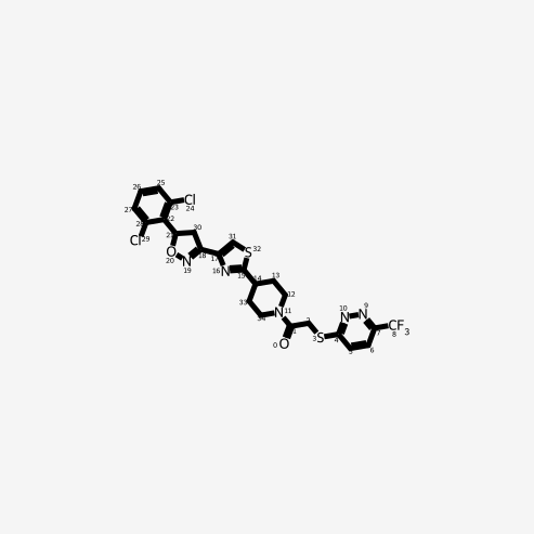 O=C(CSc1ccc(C(F)(F)F)nn1)N1CCC(c2nc(C3=NOC(c4c(Cl)cccc4Cl)C3)cs2)CC1